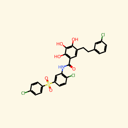 O=C(Nc1cc(S(=O)(=O)c2ccc(Cl)cc2)ccc1Cl)c1cc(CCc2cccc(Cl)c2)c(O)c(O)c1O